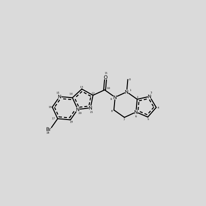 CN1c2nccn2CCN1C(=O)c1cc2ncc(Br)cn2n1